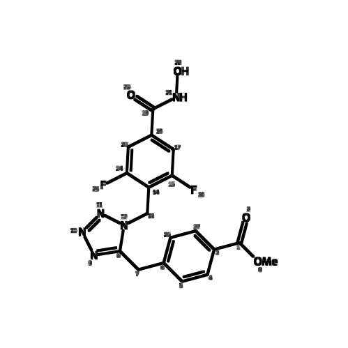 COC(=O)c1ccc(Cc2nnnn2Cc2c(F)cc(C(=O)NO)cc2F)cc1